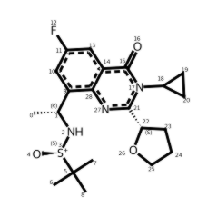 C[C@@H](N[S@+]([O-])C(C)(C)C)c1cc(F)cc2c(=O)n(C3CC3)c([C@@H]3CCCO3)nc12